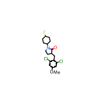 COc1cc(Cl)c(CC2CCN(C3CCC(F)CC3)C2=O)c(Cl)c1